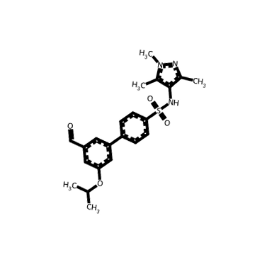 Cc1nn(C)c(C)c1NS(=O)(=O)c1ccc(-c2cc(C=O)cc(OC(C)C)c2)cc1